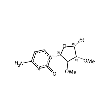 CC[C@H]1O[C@@H](n2ccc(N)nc2=O)C(OC)[C@H]1OC